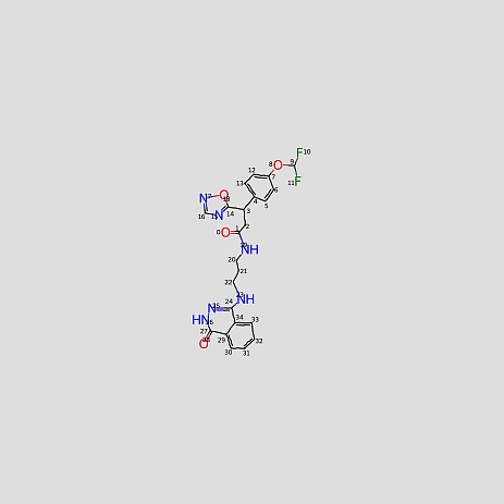 O=C(CC(c1ccc(OC(F)F)cc1)c1ncno1)NCCCNc1n[nH]c(=O)c2ccccc12